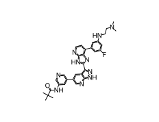 CN(C)CCNc1cc(F)cc(-c2ccnc3[nH]c(-c4n[nH]c5ncc(-c6cncc(NC(=O)C(C)(C)C)c6)cc45)nc23)c1